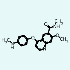 CNC(=O)c1cc2c(Oc3ccc(NC)cc3)ccnc2cc1OC